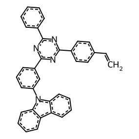 C=Cc1ccc(-c2nc(-c3ccccc3)nc(-c3cccc(-n4c5ccccc5c5ccccc54)c3)n2)cc1